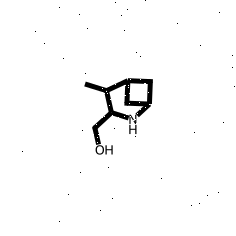 CC1C2CC(C2)NC1CO